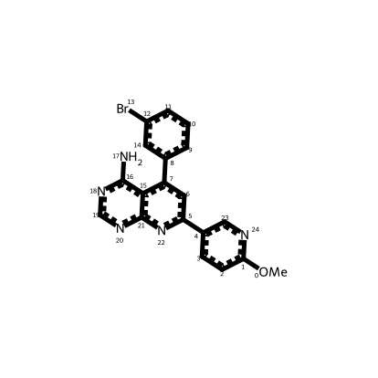 COc1ccc(-c2cc(-c3cccc(Br)c3)c3c(N)ncnc3n2)cn1